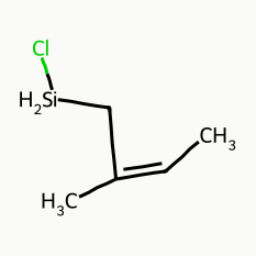 CC=C(C)C[SiH2]Cl